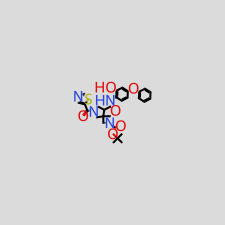 CC(C)(C)OC(=O)N1CC2(C1)CN(C(=O)c1cncs1)CC2C(=O)Nc1ccc(Oc2ccccc2)cc1O